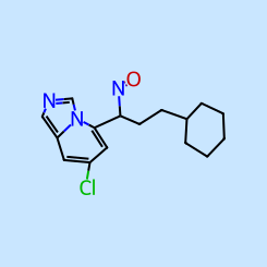 O=NC(CCC1CCCCC1)c1cc(Cl)cc2cncn12